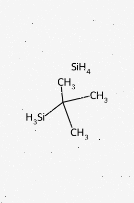 CC(C)(C)[SiH3].[SiH4]